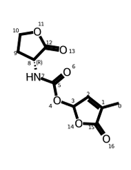 CC1=CC(OC(=O)N[C@@H]2CCOC2=O)OC1=O